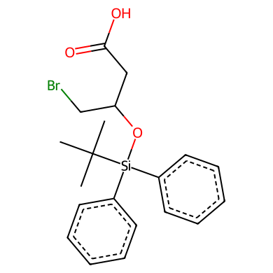 CC(C)(C)[Si](OC(CBr)CC(=O)O)(c1ccccc1)c1ccccc1